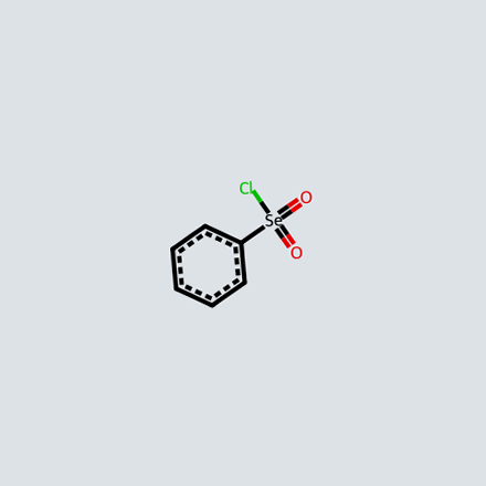 O=[Se](=O)(Cl)c1ccccc1